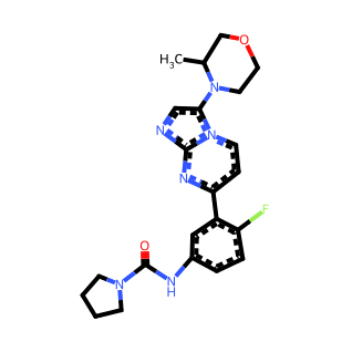 CC1COCCN1c1cnc2nc(-c3cc(NC(=O)N4CCCC4)ccc3F)ccn12